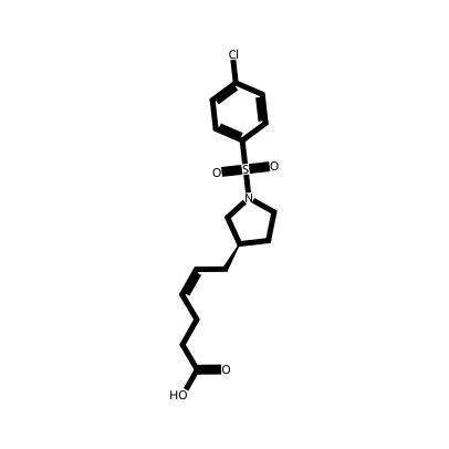 O=C(O)CC/C=C\C[C@@H]1CCN(S(=O)(=O)c2ccc(Cl)cc2)C1